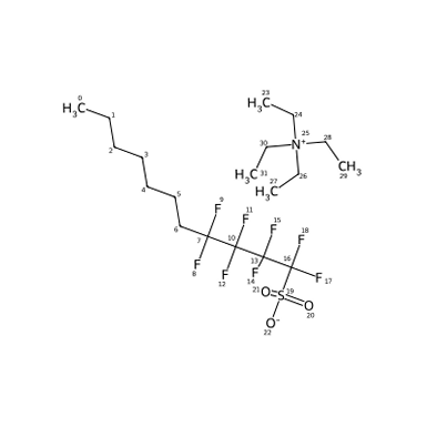 CCCCCCCC(F)(F)C(F)(F)C(F)(F)C(F)(F)S(=O)(=O)[O-].CC[N+](CC)(CC)CC